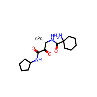 CCC[C@H](NC(=O)C1(N)CCCCC1)C(=O)C(=O)NC1CCCC1